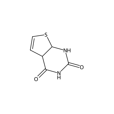 O=C1NC(=O)C2C=CSC2N1